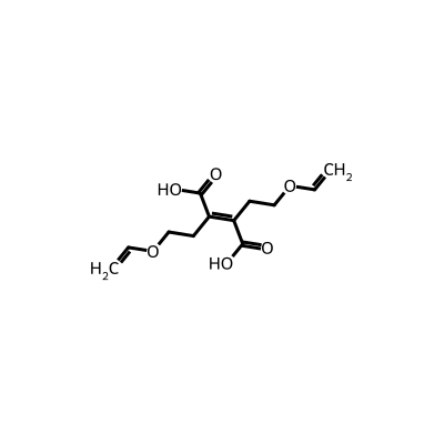 C=COCCC(C(=O)O)=C(CCOC=C)C(=O)O